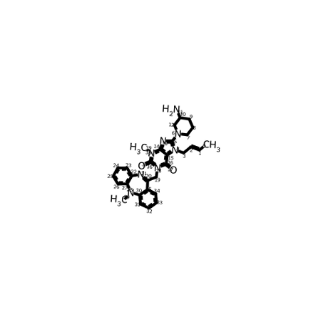 CC=CCn1c(N2CCCC(N)C2)nc2c1c(=O)n(CC1=Nc3ccccc3N(C)c3ccccc31)c(=O)n2C